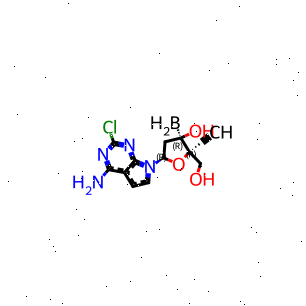 B[C@@]1(O)C[C@H](n2ccc3c(N)nc(Cl)nc32)O[C@]1(C#C)CO